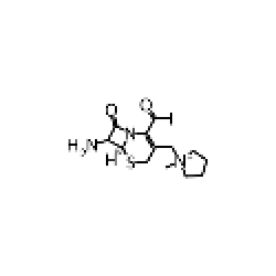 C[N+]1(CC2=C(C(=O)I)N3C(=O)C(N)[C@@H]3SC2)CCCC1